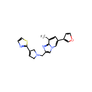 FC(F)(F)c1cc(-c2ccoc2)cn2cc(CN3CC=C(c4nccs4)C3)nc12